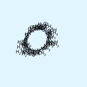 CCC(C)[C@@H]1NC(=O)[C@H](C)NC(=O)C(NC(=O)[C@H](C)NC(C)=O)C/C=C/C[C@@H](C(=O)N[C@@H](C)C(=O)O)NC(=O)C(C)NC(=O)[C@H](CCCNC(=N)N)NC(=O)C(C)NC(=O)[C@H](C)NC(=O)C(CC(C)C)NC(=O)[C@H](Cc2c[nH]c3ccccc23)NC(=O)[C@H](CCC(N)=O)NC(=O)[C@H](CCCNC(=N)N)NC(=O)[C@H](CC(C)C)NC(=O)C([C@@H](C)O)NC(=O)[C@@H]2CCCN2C(=O)CNC(=O)[C@H](CCC(=O)O)NC1=O